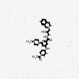 CC(=O)N1CCC(Nc2cc(C(=O)NCC(O)CN3CCc4ccccc4C3)nc(N3CCN(C)CC3)c2)CC1